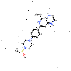 CNc1nc(-c2ccc(N3CCN([S+](C)[O-])CC3)cc2)cc2nccnc12